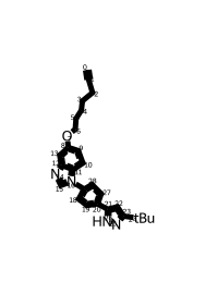 C#CCCCCCOc1ccc2c(c1)ncn2-c1[c]cc(-c2cc(C(C)(C)C)n[nH]2)cc1